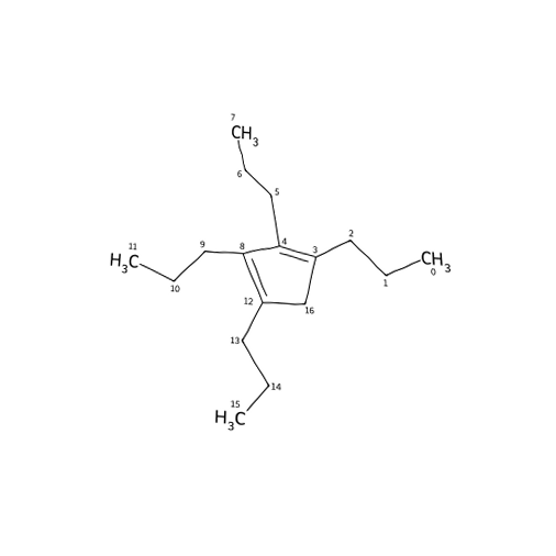 CCCC1=C(CCC)C(CCC)=C(CCC)C1